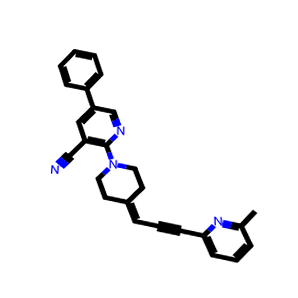 Cc1cccc(C#CC=C2CCN(c3ncc(-c4ccccc4)cc3C#N)CC2)n1